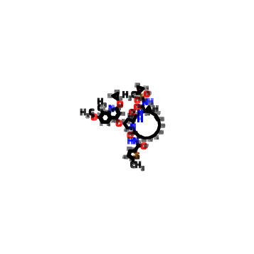 COc1ccc2c(O[C@@H]3C[C@H]4C(=O)N[C@]5(C(=O)NS(=O)(=O)C6(C)CC6)C[C@H]5C=CCCCCC[C@H](NC(=O)c5ccc(C)s5)C(=O)N4C3)cc(OC3CC3)nc2c1C